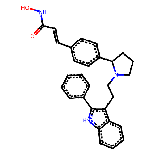 O=C(C=Cc1ccc(C2CCCN2CCc2c(-c3ccccc3)[nH]c3ccccc23)cc1)NO